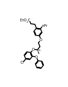 CCCc1cc(OCC[C@@H](C)Oc2ccc(Cl)cc2Oc2ccccc2)ccc1CCC(=O)OCC